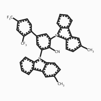 Cc1ccc2c(c1)c1ccccc1n2-c1cc(-c2ccc(C(F)(F)F)cc2C(F)(F)F)cc(-n2c3ccccc3c3cc(C)ccc32)c1C#N